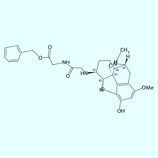 COc1cc(O)c2c3c1C[C@@H]1[C@@H]4CC[C@H](NCC(=O)NCC(=O)OCc5ccccc5)[C@H](O2)[C@]34CCN1C